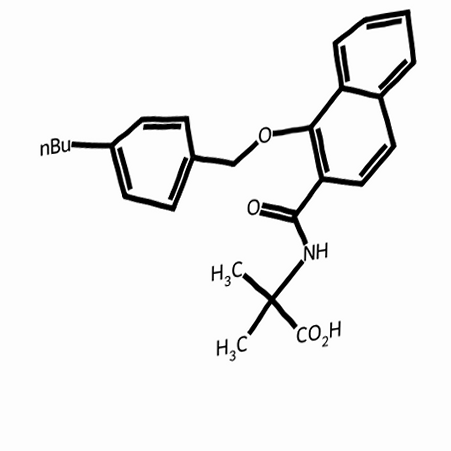 CCCCc1ccc(COc2c(C(=O)NC(C)(C)C(=O)O)ccc3ccccc23)cc1